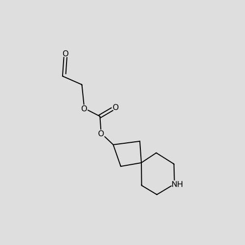 O=CCOC(=O)OC1CC2(CCNCC2)C1